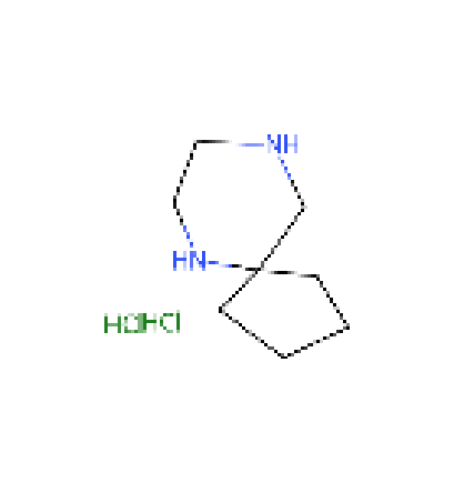 C1CCC2(C1)CNCCN2.Cl.Cl